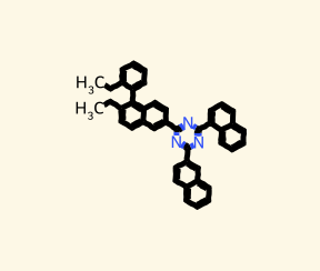 CCc1ccccc1-c1c(CC)ccc2cc(-c3nc(-c4ccc5ccccc5c4)nc(-c4cccc5ccccc45)n3)ccc12